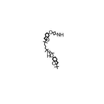 CN[C@H]1C[C@H](Oc2ccc3cc(C(C)(C)CCCC(C)(C)NCC(C)Oc4ccc5cc(C(C)(C)C)oc5c4)oc3c2)C1